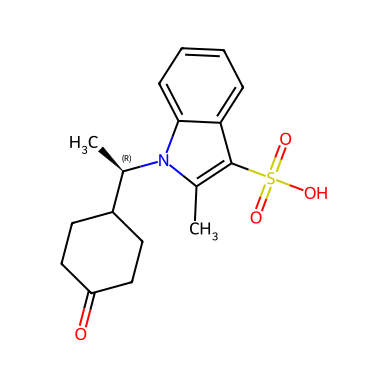 Cc1c(S(=O)(=O)O)c2ccccc2n1[C@H](C)C1CCC(=O)CC1